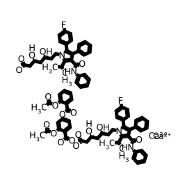 CC(=O)Oc1ccccc1C(=O)[O-].CC(=O)Oc1ccccc1C(=O)[O-].CC(C)c1c(C(=O)Nc2ccccc2)c(-c2ccccc2)c(-c2ccc(F)cc2)n1CC[C@@H](O)C[C@@H](O)CC(=O)[O-].CC(C)c1c(C(=O)Nc2ccccc2)c(-c2ccccc2)c(-c2ccc(F)cc2)n1CC[C@@H](O)C[C@@H](O)CC(=O)[O-].[Ca+2].[Ca+2]